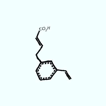 C=Cc1cccc(CC=CC(=O)O)c1